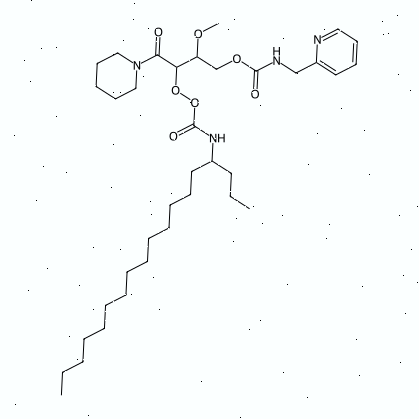 CCCCCCCCCCCCCCC(CCC)NC(=O)OOC(C(=O)N1CCCCC1)C(COC(=O)NCc1ccccn1)OC